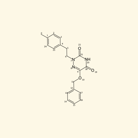 Cc1ccc(CCn2nc(OCc3ccccc3)c(=O)[nH]c2=O)cc1